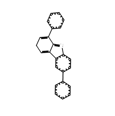 C1=C(c2ccccc2)C2=Nc3ccc(-c4ccccc4)cc3C2=CC1